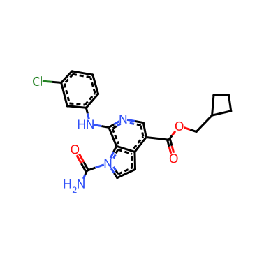 NC(=O)n1ccc2c(C(=O)OCC3CCC3)cnc(Nc3cccc(Cl)c3)c21